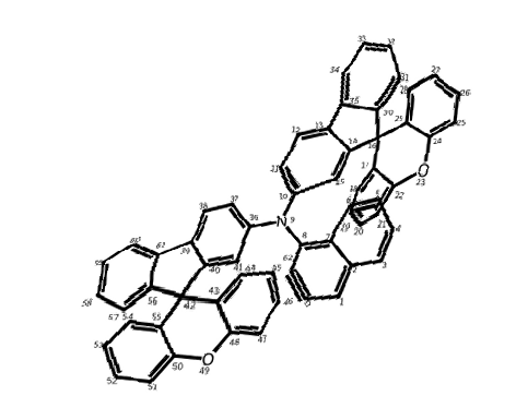 c1cc2ccccc2c(N(c2ccc3c(c2)C2(c4ccccc4Oc4ccccc42)c2ccccc2-3)c2ccc3c(c2)C2(c4ccccc4Oc4ccccc42)c2ccccc2-3)c#1